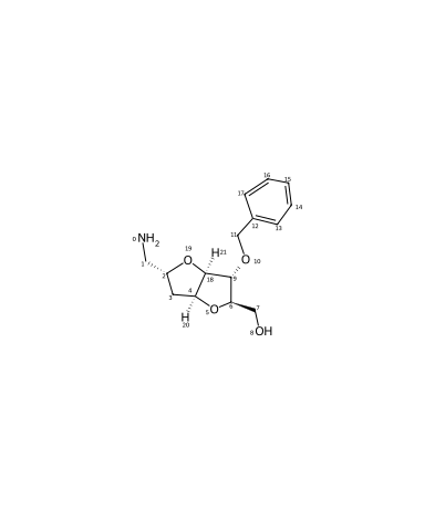 NC[C@H]1C[C@@H]2O[C@H](CO)[C@@H](OCc3ccccc3)[C@@H]2O1